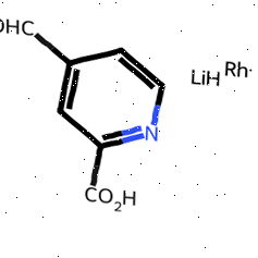 O=Cc1ccnc(C(=O)O)c1.[LiH].[Rh]